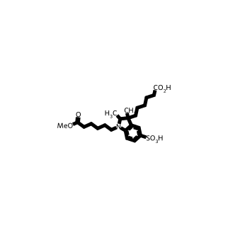 COC(=O)CCCCCN1c2ccc(S(=O)(=O)O)cc2C(C)(CCCCCC(=O)O)C1C